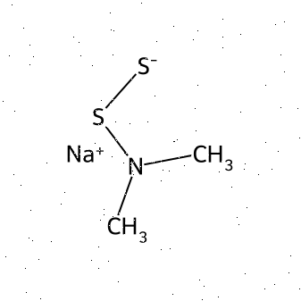 CN(C)S[S-].[Na+]